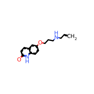 C=CCNCCCOc1ccc2[nH]c(=O)ccc2c1